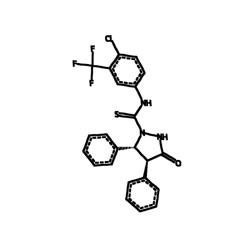 O=C1NN(C(=S)Nc2ccc(Cl)c(C(F)(F)F)c2)[C@@H](c2ccccc2)[C@@H]1c1ccccc1